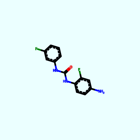 Nc1ccc(NC(=O)Nc2cccc(F)c2)c(F)c1